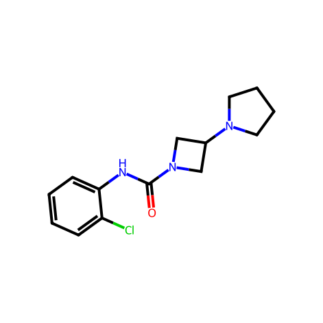 O=C(Nc1ccccc1Cl)N1CC(N2CCCC2)C1